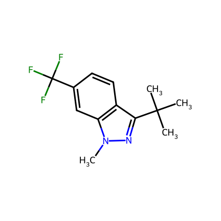 Cn1nc(C(C)(C)C)c2ccc(C(F)(F)F)cc21